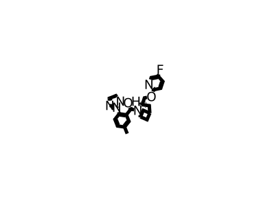 Cc1ccc(-n2nccn2)c(C(=O)N2C3CC(C3)C[C@@H]2COc2ccc(F)cn2)c1